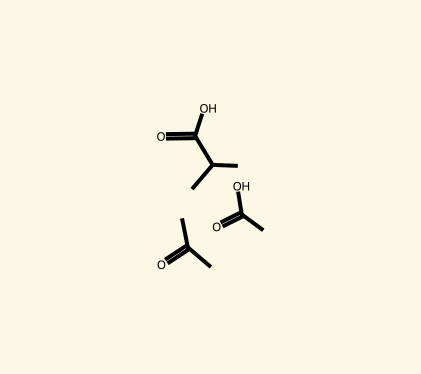 CC(=O)O.CC(C)=O.CC(C)C(=O)O